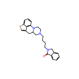 O=C1c2ccccc2CN1CCCCN1CCN2c3cccc4scc(c34)CC2C1